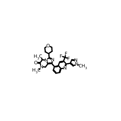 CC1C(=O)N(C)Cc2c(-c3cccc4nc(-c5cnn(C)c5)c(C(F)(F)F)cc34)nc(C3CCOCC3)n21